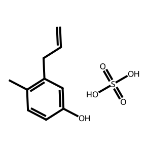 C=CCc1cc(O)ccc1C.O=S(=O)(O)O